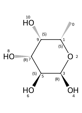 C[C@@H]1O[C@@H](O)[C@@H](O)[C@H](O)[C@@H]1O